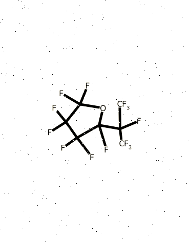 FC(F)(F)C(F)(C(F)(F)F)C1(F)OC(F)(F)C(F)(F)C1(F)F